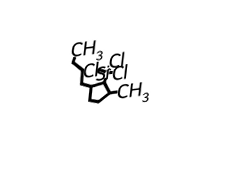 CCCCC1CCC(C)C1[Si](Cl)(Cl)Cl